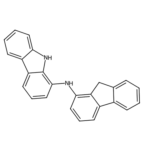 c1ccc2c(c1)Cc1c(Nc3cccc4c3[nH]c3ccccc34)cccc1-2